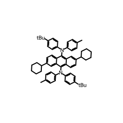 Cc1ccc(N(c2ccc(C(C)(C)C)cc2)c2c3ccc(C4CCCCC4)cc3c(N(c3ccc(C)cc3)c3ccc(C(C)(C)C)cc3)c3ccc(C4CCCCC4)cc23)cc1